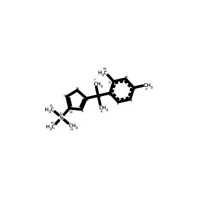 Cc1ccc(C(C)(C)C2=CC([Si](C)(C)C)=CC2)c(C)c1